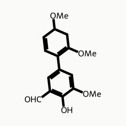 COC1=C(c2cc(C=O)c(O)c(OC)c2)C=CC(OC)C1